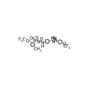 Cc1ccc(COCC(F)(F)F)c(N2C(=O)CS/C2=N\C(=O)Nc2ccc(-c3nnn(-c4ccc(OC(F)(F)F)cc4)n3)cc2)c1